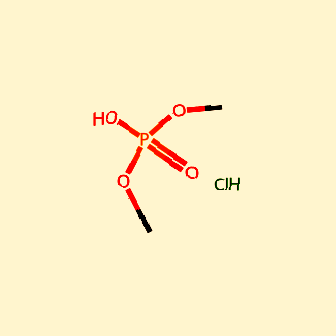 COP(=O)(O)OC.Cl